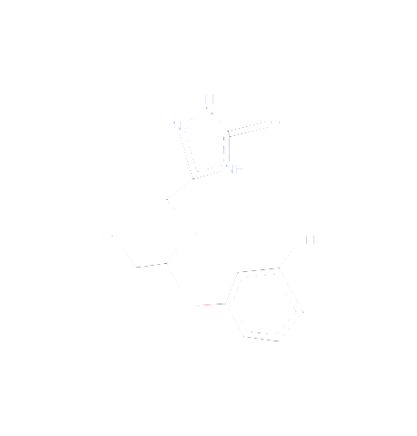 CCC(Oc1cccc(C)c1)SCc1n[nH]c(=O)[nH]1